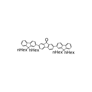 CCCCCCC1(CCCCCC)c2ccccc2-c2ccc(-c3ccc4c(c3)C(=O)c3cc(-c5ccc6c(c5)C(CCCCCC)(CCCCCC)c5ccccc5-6)ccc3-4)cc21